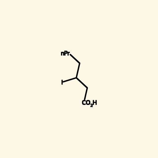 CCCCC(I)CC(=O)O